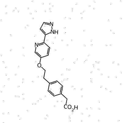 O=C(O)Cc1ccc(CCOc2ccc(-c3ccn[nH]3)nc2)cc1